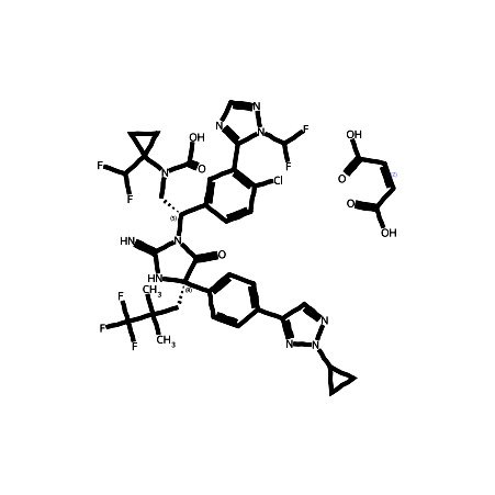 CC(C)(C[C@]1(c2ccc(-c3cnn(C4CC4)n3)cc2)NC(=N)N([C@H](CN(C(=O)O)C2(C(F)F)CC2)c2ccc(Cl)c(-c3ncnn3C(F)F)c2)C1=O)C(F)(F)F.O=C(O)/C=C\C(=O)O